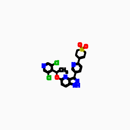 C[C@@H](Oc1ccc2[nH]nc(-c3ccc(C4=CCS(=O)(=O)CC4)nc3)c2n1)c1c(Cl)cncc1Cl